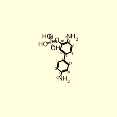 Nc1ccc(-c2ccc(N)c(O[PH](O)(O)O)c2)cc1